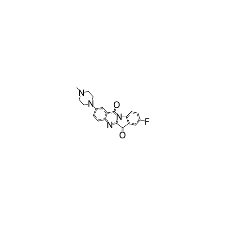 CN1CCN(c2ccc3nc4n(c(=O)c3c2)-c2ccc(F)cc2C4=O)CC1